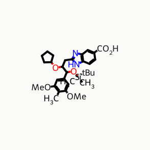 COc1cc(C(O[Si](C)(C)C(C)(C)C)C(Cc2nc3cc(C(=O)O)ccc3[nH]2)OC2CCCC2)cc(OC)c1C